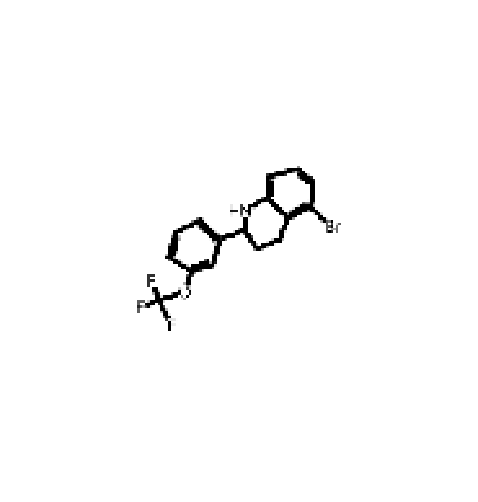 FC(F)(F)Oc1cccc(C2CCc3c(Br)cccc3N2)c1